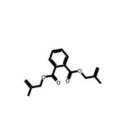 C=C(C)COC(=O)c1ccccc1C(=O)OCC(=C)C